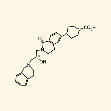 O=C(O)N1CCN(c2ccc3c(c2)CCN(C[C@H](O)CN2CCc4ccccc4C2)C3=O)CC1